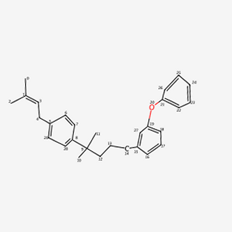 CC(C)=CCc1ccc(C(C)(C)CCCc2cccc(Oc3ccccc3)c2)cc1